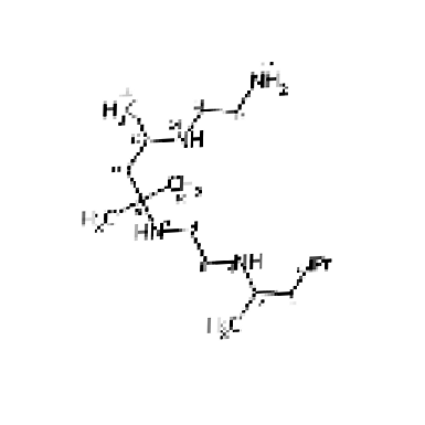 CC(C)CC(C)NCCNC(C)(C)CC(C)NCCN